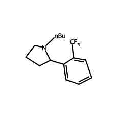 CCCCN1CCCC1c1ccccc1C(F)(F)F